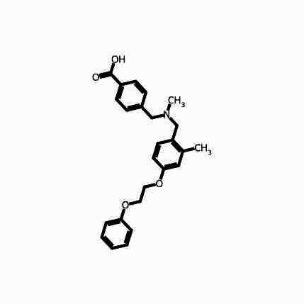 Cc1cc(OCCOc2ccccc2)ccc1CN(C)Cc1ccc(C(=O)O)cc1